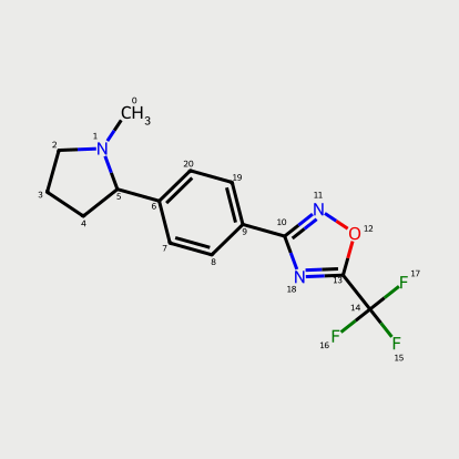 CN1CCCC1c1ccc(-c2noc(C(F)(F)F)n2)cc1